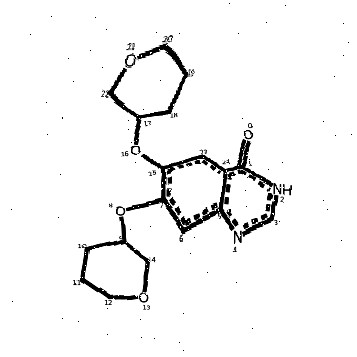 O=c1[nH]cnc2cc(OC3CCCOC3)c(OC3CCCOC3)cc12